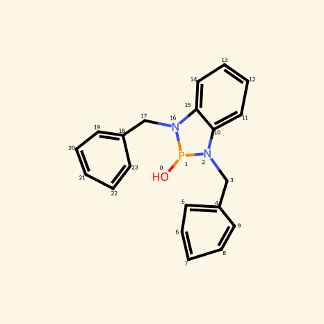 OP1N(Cc2ccccc2)c2ccccc2N1Cc1ccccc1